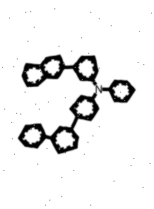 c1ccc(-c2cccc(-c3ccc(N(c4ccccc4)c4cccc(-c5ccc6ccccc6c5)c4)cc3)c2)cc1